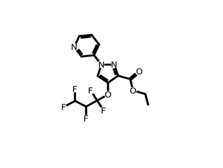 CCOC(=O)c1nn(-c2cccnc2)cc1OC(F)(F)C(F)C(F)F